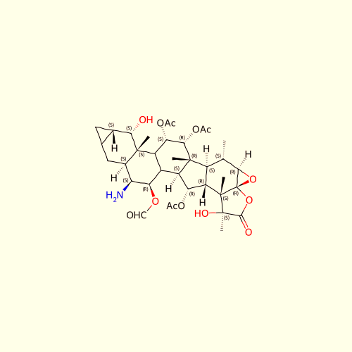 CC(=O)O[C@H]1[C@@H]2[C@H]([C@H](C)[C@H]3O[C@]34OC(=O)[C@@](C)(O)[C@]24C)[C@]2(C)[C@@H]1C1C([C@H](OC(C)=O)[C@@H]2OC(C)=O)[C@]2(C)[C@H](CC3C[C@@H]3[C@@H]2O)[C@H](N)[C@@H]1OC=O